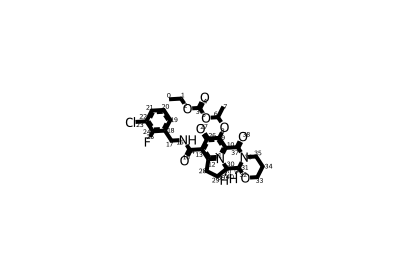 CCOC(=O)OC(C)Oc1c2n3c(c(C(=O)NCc4cccc(Cl)c4F)c1=O)CC[C@@H]3[C@@H]1OCCCN1C2=O